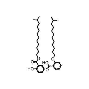 CC(C)CCCCCCCCCCOC(=O)c1ccccc1O.CC(C)CCCCCCCCCCOc1ccccc1C(=O)O